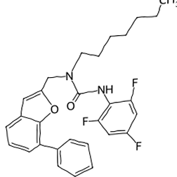 CCCCCCCN(Cc1cc2cccc(-c3ccccc3)c2o1)C(=O)Nc1c(F)cc(F)cc1F